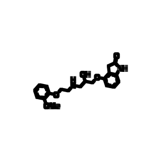 COc1ccccc1OCCNCC(O)COc1cccc2c1CC(=O)N2